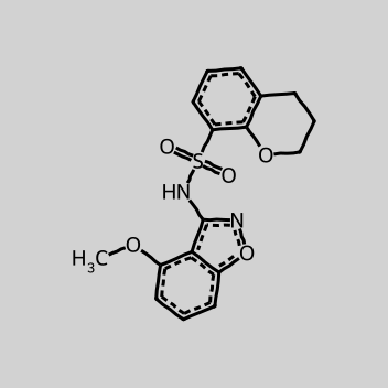 COc1cccc2onc(NS(=O)(=O)c3cccc4c3OCCC4)c12